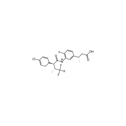 C[C@H]([C@H](C(=O)Nc1cc([C@@H](C)CC(=O)O)ccc1F)C1C=CC(Cl)=CC1)C(F)(F)F